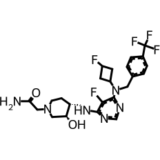 NC(=O)CN1CC[C@H](CNc2ncnc(N(Cc3ccc(C(F)(F)F)cc3)C3CC(F)C3)c2F)[C@@H](O)C1